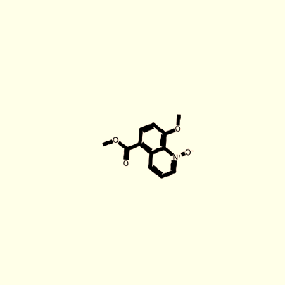 COC(=O)c1ccc(OC)c2c1ccc[n+]2[O-]